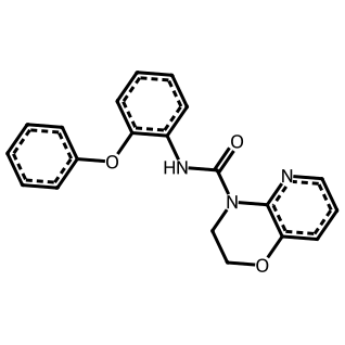 O=C(Nc1ccccc1Oc1ccccc1)N1CCOc2cccnc21